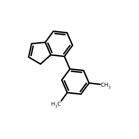 Cc1cc(C)cc(-c2cccc3c2CC=C3)c1